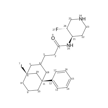 O=C(CCC1C[C@@]2(I)CCC[C@@](c3ccccc3)(C1)C2)N[C@@H]1CCNC[C@H]1F